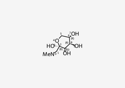 CNC[C@@]1(O)OC[C@@H](O)[C@@H](O)[C@@H]1O